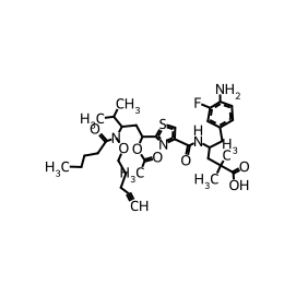 C#CCCCON(C(=O)CCCC)C(CC(OC(C)=O)c1nc(C(=O)NC(Cc2ccc(N)c(F)c2)CC(C)(C)C(=O)O)cs1)C(C)C